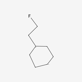 FCC[C]1CC[CH]CC1